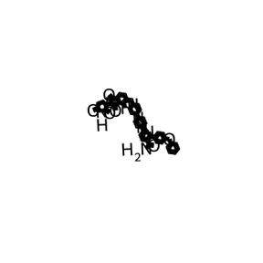 NC(=O)c1ccc(N2CCN(C3CCN(Cc4ccc5c(c4F)C(=O)N(C4CCC(=O)NC4=O)C5=O)CC3)CC2)nc1-c1ccc(Oc2ccccc2)cc1